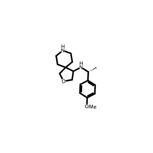 COc1ccc([C@@H](C)NC2COCC23CCNCC3)cc1